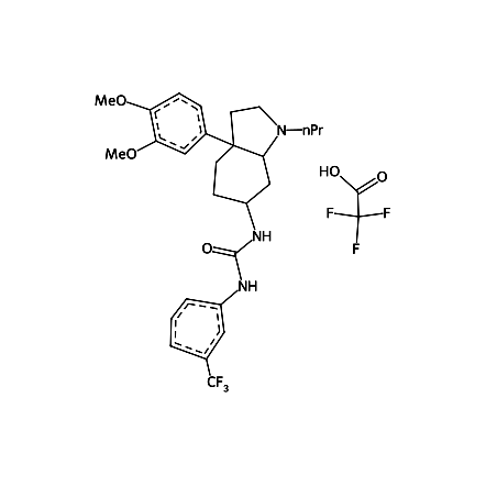 CCCN1CCC2(c3ccc(OC)c(OC)c3)CCC(NC(=O)Nc3cccc(C(F)(F)F)c3)CC12.O=C(O)C(F)(F)F